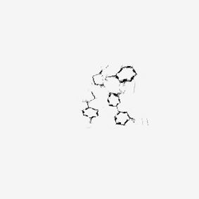 O=C1C[C@@H](CC[C@H](O)c2ccc(F)cc2)[C@@H](c2ccc(-c3cccc(O)c3)cc2O)N1c1ccccc1